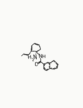 C/C=C/C1=CC=CC[C@@]1(N)NC(=O)c1ccc2ccccc2c1